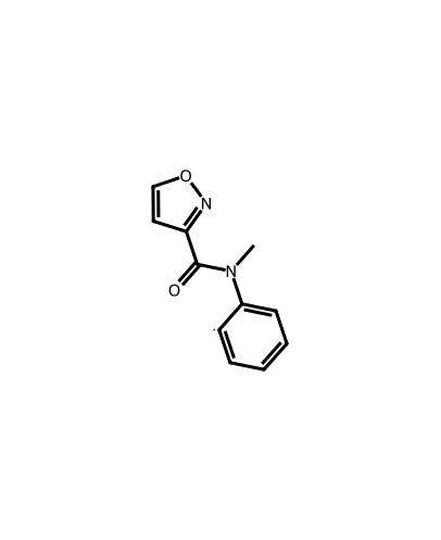 CN(C(=O)c1ccon1)c1[c]cccc1